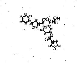 O=C(NO)[C@H]1C[C@H](OC(=O)N2CCCC2)CC[C@@H]1C(=O)N1CC[C@H](c2ccccc2)C1